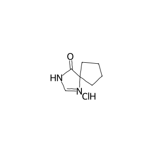 Cl.O=C1NC=NC12CCCC2